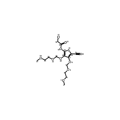 COCCOCOc1c(C#N)sc(OC(=O)CCl)c1OCOCCOC